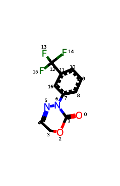 O=C1OCC=NN1c1cccc(C(F)(F)F)c1